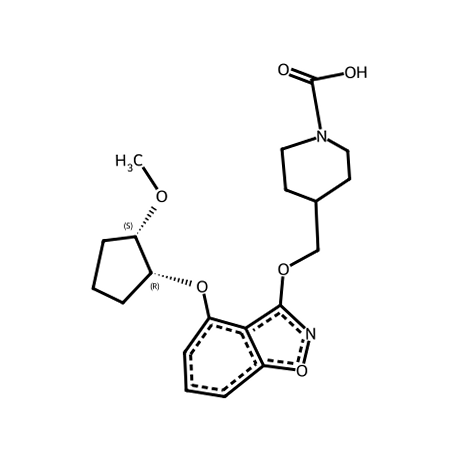 CO[C@H]1CCC[C@H]1Oc1cccc2onc(OCC3CCN(C(=O)O)CC3)c12